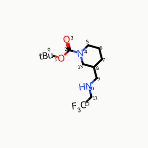 CC(C)(C)OC(=O)N1CCCC(CNCC(F)(F)F)C1